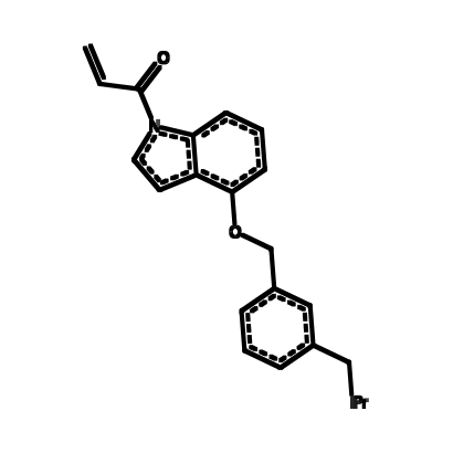 C=CC(=O)n1ccc2c(OCc3cccc(CC(C)C)c3)cccc21